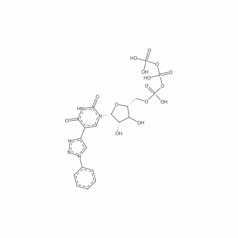 O=c1[nH]c(=O)n([C@@H]2O[C@H](COP(=O)(O)OP(=O)(O)OP(=O)(O)O)C(O)[C@@H]2O)cc1-c1cn(-c2ccccc2)nn1